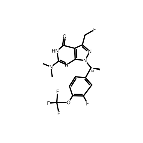 C[C@@H](c1ccc(OC(F)(F)F)c(F)c1)n1nc(CF)c2c(=O)[nH]c(N(C)C)nc21